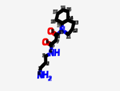 NCCCNC(=O)CC(=O)N1CCCC2CCCCC21